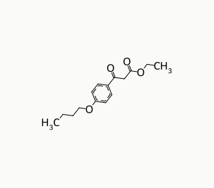 CCCCOc1ccc(C(=O)CC(=O)OCC)cc1